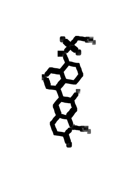 CCS(=O)(=O)NC1CCCc2c(-c3cc4c(cc3F)N(C)C(=O)CC4)cncc21